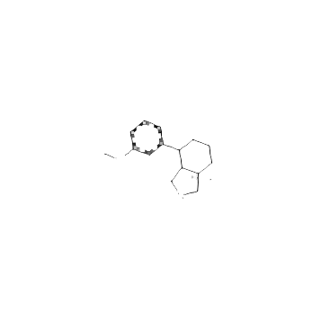 COc1cccc(C2CCC[C@H]3CNCC23)c1